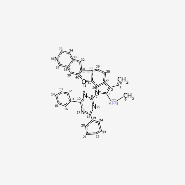 C=Cc1c(/C=C\C)n(-c2nc(-c3ccccc3)nc(-c3ccccc3)n2)c2c1ccc1c3cc4ccncc4cc3oc12